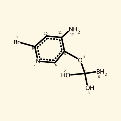 BC(O)(O)Oc1cnc(Br)cc1N